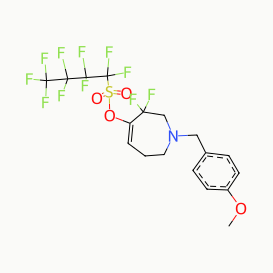 COc1ccc(CN2CCC=C(OS(=O)(=O)C(F)(F)C(F)(F)C(F)(F)C(F)(F)F)C(F)(F)C2)cc1